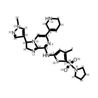 Cc1cc(NC2=NC(C3=CCCNC3)=CN3C2=NCC3c2cnn(C)c2)sc1S(=O)(=O)N1CCCC1